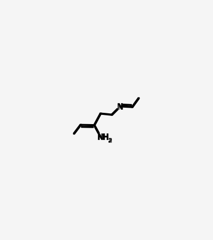 CC=NCCC(N)=CC